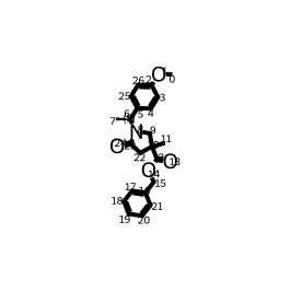 COc1ccc([C@H](C)N2CC(C)(C(=O)OCc3ccccc3)CC2=O)cc1